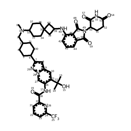 CN(CC1CCC(c2cc3cc(C(C)(C)O)c(NC(=O)c4cccc(C(F)(F)F)n4)cn3n2)CC1)C1CCC2(CC1)CC(Nc1cccc3c1C(=O)N(C1CCC(=O)NC1=O)C3=O)C2